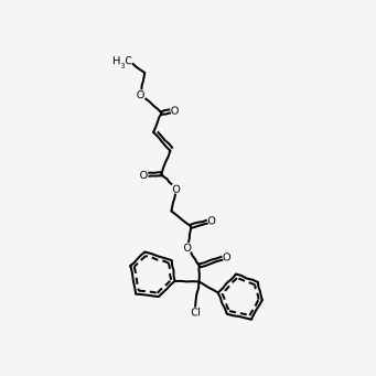 CCOC(=O)C=CC(=O)OCC(=O)OC(=O)C(Cl)(c1ccccc1)c1ccccc1